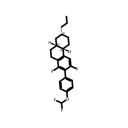 CCC[C@@H]1CC[C@@H]2c3cc(F)c(-c4ccc(OC(F)F)cc4)c(F)c3CC[C@@H]2C1